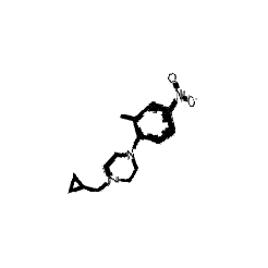 Cc1cc([N+](=O)[O-])ccc1N1CCN(CC2CC2)CC1